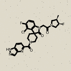 C[C@@H]1CN(C(=O)CN2C(=O)C3(CCN(C(=O)c4ccc5[nH]ncc5n4)CC3)c3c2ccc(F)c3Cl)C[C@@H]1F